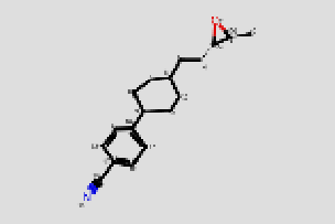 C[C@@H]1O[C@H]1CCC1CCC(c2ccc(C#N)cc2)CC1